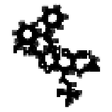 NC(=O)[C@@H](CC1CC1)[C@@H](CCC(F)(F)F)C(=O)N[C@@H]1C=C(c2ccccc2)c2cccc(F)c2N[N+]1=O